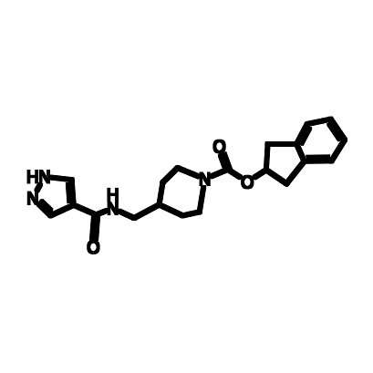 O=C(NCC1CCN(C(=O)OC2Cc3ccccc3C2)CC1)c1cn[nH]c1